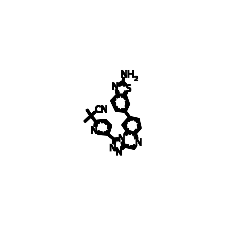 CC(C)(C#N)c1ccc(-c2nnc3cnc4ccc(-c5ccc6nc(N)sc6c5)cc4n23)cn1